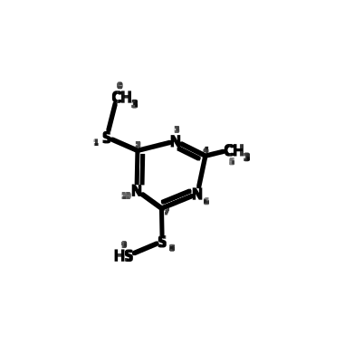 CSc1nc(C)nc(SS)n1